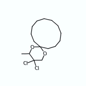 CC1OC2(CCCCCCCCCCC2)OCC1(Cl)Cl